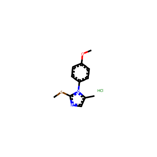 COc1ccc(-n2c(C)cnc2SC)cc1.Cl